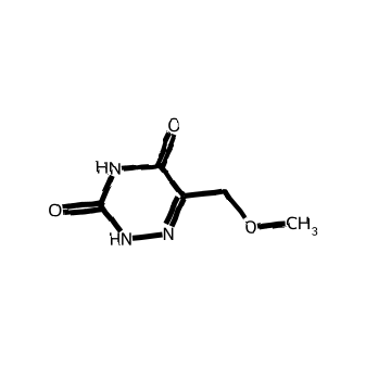 COCc1n[nH]c(=O)[nH]c1=O